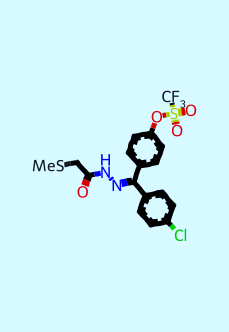 CSCC(=O)NN=C(c1ccc(Cl)cc1)c1ccc(OS(=O)(=O)C(F)(F)F)cc1